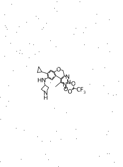 Cc1c2c(nn(OC(=O)C(F)(F)F)[n+]1=O)COc1cc(C3CC3)c(NC3CNC3)cc1-2